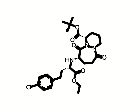 CCOC(=O)[C@H](CCc1ccc(Cl)cc1)N[C@H]1CCC(=O)N2CCC[C@@H](C(=O)OC(C)(C)C)N2C1=O